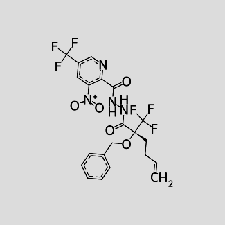 C=CCC[C@@](OCc1ccccc1)(C(=O)NNC(=O)c1ncc(C(F)(F)F)cc1[N+](=O)[O-])C(F)(F)F